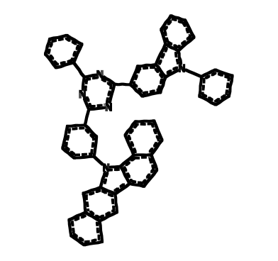 c1ccc(-c2nc(-c3cccc(-n4c5cc6ccccc6cc5c5ccc6ccccc6c54)c3)nc(-c3ccc4c(c3)c3ccccc3n4-c3ccccc3)n2)cc1